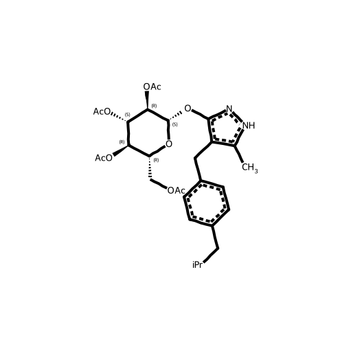 CC(=O)OC[C@H]1O[C@@H](Oc2n[nH]c(C)c2Cc2ccc(CC(C)C)cc2)[C@H](OC(C)=O)[C@@H](OC(C)=O)[C@@H]1OC(C)=O